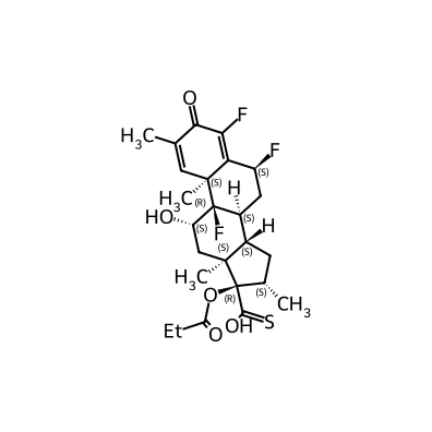 CCC(=O)O[C@]1(C(O)=S)[C@@H](C)C[C@H]2[C@@H]3C[C@H](F)C4=C(F)C(=O)C(C)=C[C@]4(C)[C@@]3(F)[C@@H](O)C[C@@]21C